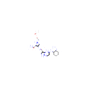 NC(=O)c1nn(CCOC(=O)C(F)(F)F)cc1NC(=O)c1cnn2ccc(N[C@@H]3CCCC[C@@H]3N)nc12